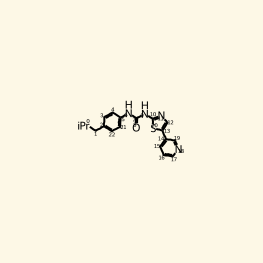 CC(C)Cc1ccc(NC(=O)Nc2ncc(-c3cccnc3)s2)cc1